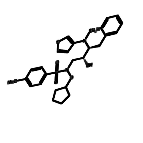 COc1ccc(S(=O)(=O)N(C[C@@H](O)[C@H](Cc2ccccc2)N(C(=O)O)c2ccoc2)OC2CCCC2)cc1